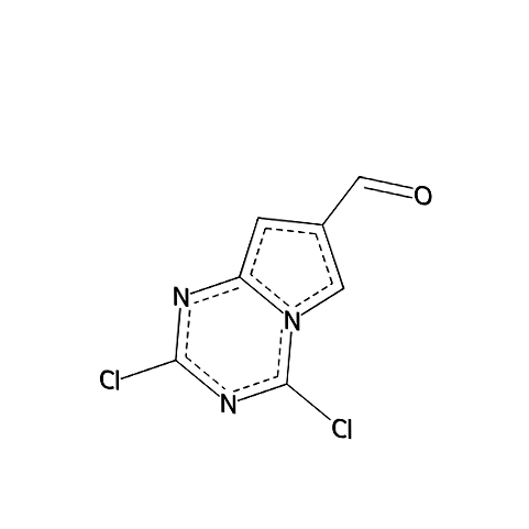 O=Cc1cc2nc(Cl)nc(Cl)n2c1